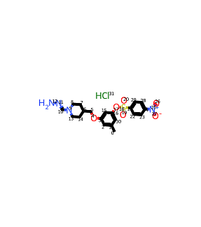 Cc1cc(OCC2CCN(C=NN)CC2)cc(OS(=O)(=O)c2ccc([N+](=O)[O-])cc2)c1.Cl